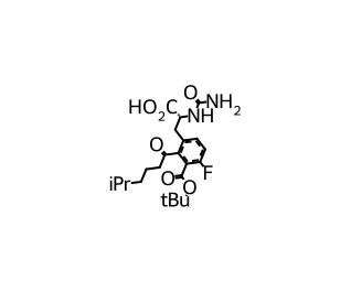 CC(C)CCCC(=O)c1c(C[C@@H](NC(N)=O)C(=O)O)ccc(F)c1C(=O)OC(C)(C)C